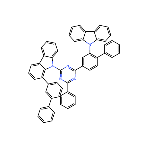 c1ccc(-c2cccc(-c3cccc4c5ccccc5n(-c5nc(-c6ccccc6)nc(-c6ccc(-c7ccccc7)c(-n7c8ccccc8c8ccccc87)c6)n5)c34)c2)cc1